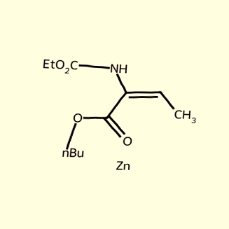 CC=C(NC(=O)OCC)C(=O)OCCCC.[Zn]